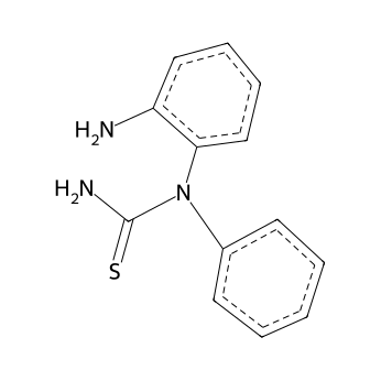 NC(=S)N(c1ccccc1)c1ccccc1N